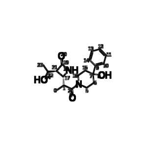 CC(C(=O)N1CCC(O)(c2ccccc2)CC1)[C@H]1NC(=O)[C@@H]1C(C)O